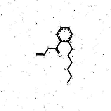 C=CCC(=O)c1ccccc1CCCCCC